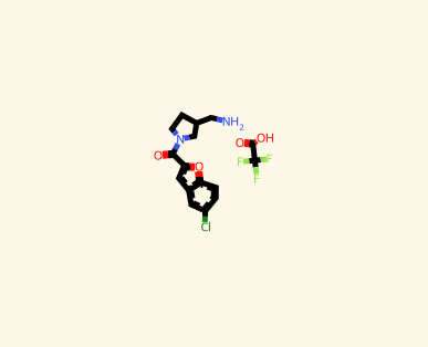 NCC1CCN(C(=O)c2cc3cc(Cl)ccc3o2)C1.O=C(O)C(F)(F)F